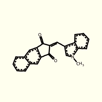 Cn1cc(C=C2C(=O)c3cc4ccccc4cc3C2=O)c2ccccc21